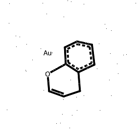 C1=COc2ccccc2C1.[Au]